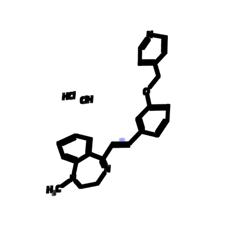 CN1CCN=C(/C=C/c2cccc(OCc3ccncc3)c2)c2ccccc21.Cl.Cl